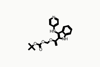 C=C(OCOC(=O)OC(C)(C)C)c1[nH]c2ccccc2c1Nc1ccncc1